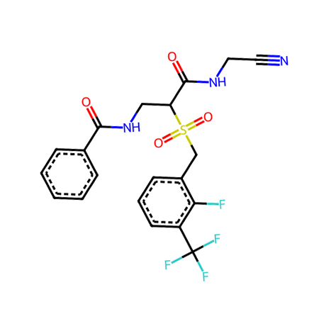 N#CCNC(=O)C(CNC(=O)c1ccccc1)S(=O)(=O)Cc1cccc(C(F)(F)F)c1F